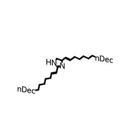 CCCCCCCCCCCCCCCC=CC1=NC(C=CCCCCCCCCCCCCCCC)CN1